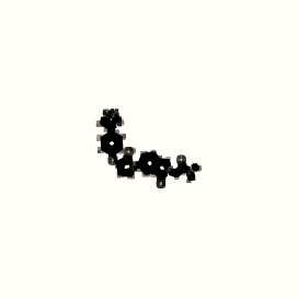 CN(C)C(=O)CN1Cc2ccc(N3CC[C@@H](Oc4ccc(-c5csnn5)cc4)C3=O)cc2C1=O